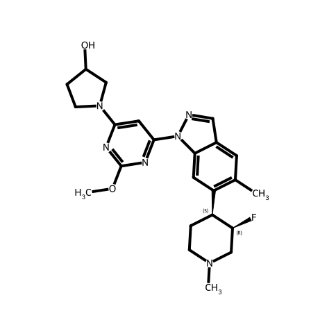 COc1nc(N2CCC(O)C2)cc(-n2ncc3cc(C)c([C@@H]4CCN(C)C[C@@H]4F)cc32)n1